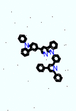 c1ccc(-c2cc(-c3ccccc3)nc(-c3cccc(-n4c5ccccc5c5cc(-c6ccc7c(c6)c6ccccc6n7-c6ccccc6)cnc54)c3)c2)cc1